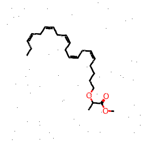 CC/C=C\C/C=C\C/C=C\C/C=C\C/C=C\CCCCOC(C)C(=O)OC